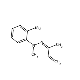 C=C/C(C)=N\N(C)c1ccccc1C(C)(C)C